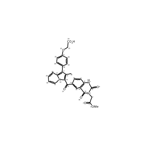 COC(=O)Cn1c(=O)[nH]c2ccc(C(=O)c3c(C)c(-c4ccc(OCC(=O)O)cc4)c4ccccn34)cc2c1=O